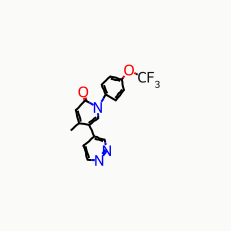 Cc1cc(=O)n(-c2ccc(OC(F)(F)F)cc2)cc1-c1ccnnc1